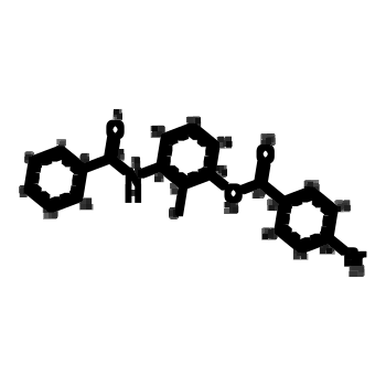 Cc1c(NC(=O)c2ccccc2)cccc1OC(=O)c1ccc(Br)cc1